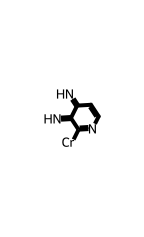 N=C1C=CN=[C]([Cr])C1=N